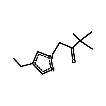 CCc1cnn(CC(=O)C(C)(C)C)c1